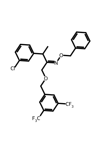 CC(C(COCc1cc(C(F)(F)F)cc(C(F)(F)F)c1)=NOCc1ccccc1)c1cccc(Cl)c1